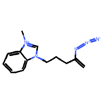 C=C(CCCn1c[n+](C)c2ccccc21)N=[N+]=[N-]